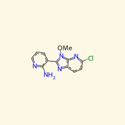 COn1c(-c2cccnc2N)nc2ccc(Cl)nc21